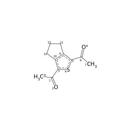 CC(=O)c1sc(C(C)=O)c2c1CCC2